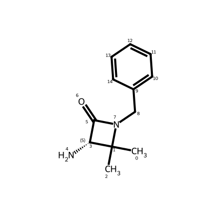 CC1(C)[C@H](N)C(=O)N1Cc1ccccc1